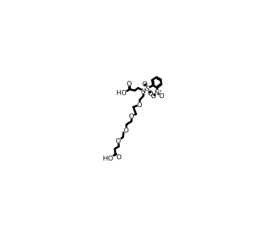 O=C(O)CCOCCOCCOCCOCCN(CCC(=O)O)S(=O)(=O)c1ccccc1[N+](=O)[O-]